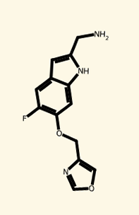 NCc1cc2cc(F)c(OCc3cocn3)cc2[nH]1